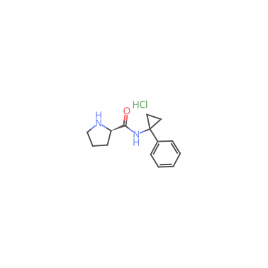 Cl.O=C(NC1(c2ccccc2)CC1)[C@H]1CCCN1